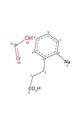 O=C(O)CCc1cccc[c]1[Na].O=PO